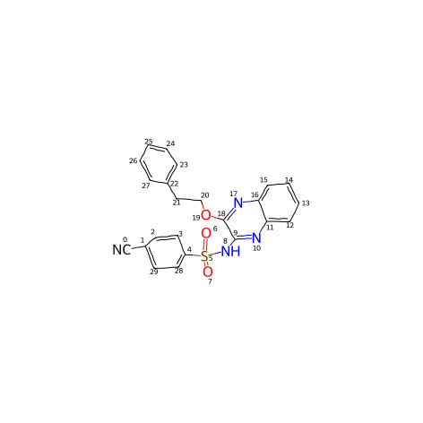 N#Cc1ccc(S(=O)(=O)Nc2nc3ccccc3nc2OCCc2ccccc2)cc1